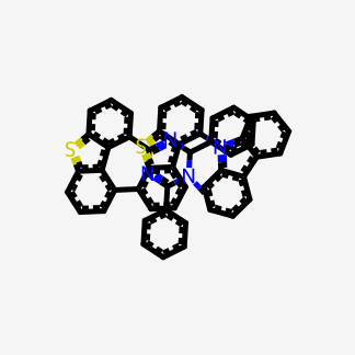 CN1C(c2ccccc2)=NC(c2cccc3sc4cccc(-c5cccc6c5sc5cccc(-n7c8ccccc8c8ccccc87)c56)c4c23)=NC1c1ccccc1